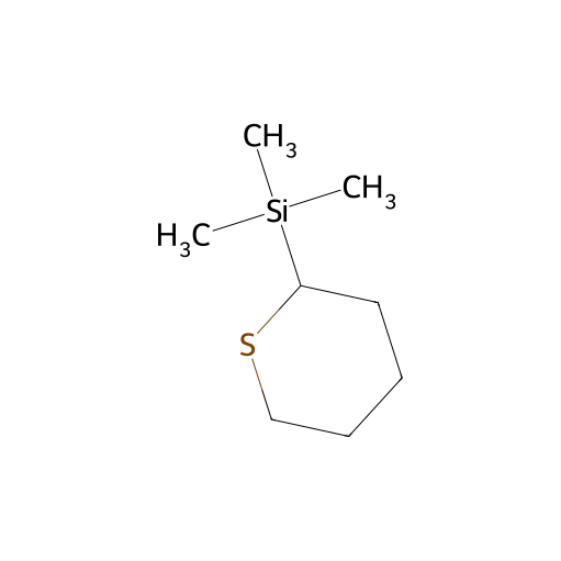 C[Si](C)(C)C1CCCCS1